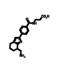 NCC1CCCn2cc(-c3ccc(C(=O)NCCC(=O)O)cc3)nc21